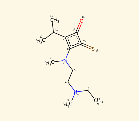 CCN(C)CCN(C)c1c(C(C)C)c(=O)c1=S